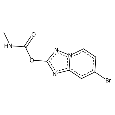 CNC(=O)Oc1nc2cc(Br)ccn2n1